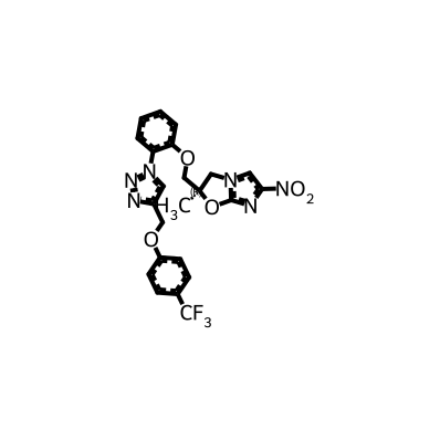 C[C@]1(COc2ccccc2-n2cc(COc3ccc(C(F)(F)F)cc3)nn2)Cn2cc([N+](=O)[O-])nc2O1